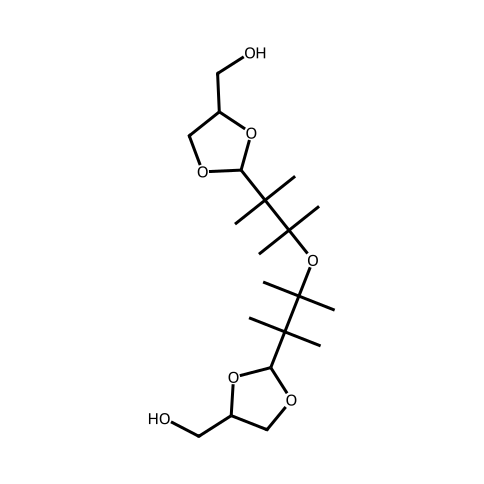 CC(C)(OC(C)(C)C(C)(C)C1OCC(CO)O1)C(C)(C)C1OCC(CO)O1